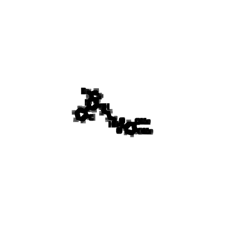 COc1ccc(S(=O)(=O)NCCCCNc2cc(-c3ccccc3Cl)nc3c(Br)cnn23)cc1OC